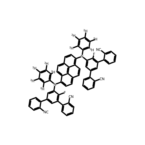 [2H]c1c([2H])c([2H])c(N(c2cc(-c3ccccc3C#N)cc(-c3ccccc3C#N)c2F)c2ccc3ccc4c(N(c5cc(-c6ccccc6[N+]#[C-])cc(-c6ccccc6C#N)c5F)c5c([2H])c([2H])c([2H])c([2H])c5[2H])ccc5ccc2c3c54)c([2H])c1[2H]